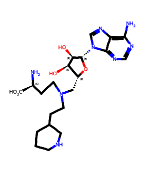 Nc1ncnc2c1ncn2[C@@H]1O[C@H](CN(CCC2CCCNC2)CC[C@H](N)C(=O)O)[C@@H](O)[C@H]1O